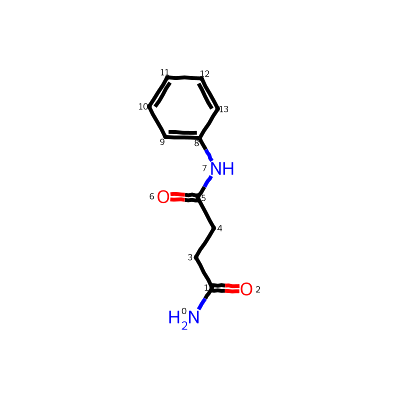 NC(=O)CCC(=O)Nc1ccccc1